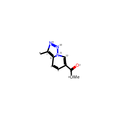 COC(=O)c1ccc2c(C)nnn2c1